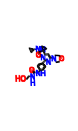 O=C(NCCO)Nc1ccc(-c2nc(N3CCOCC3)cc(C3(C(=O)NC4CC4)CC3)n2)cc1